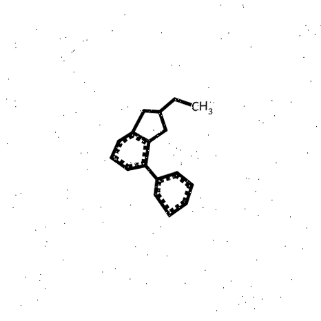 CCC1Cc2cccc(-c3ccccc3)c2C1